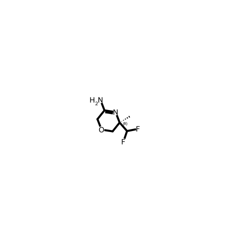 C[C@]1(C(F)F)COCC(N)=N1